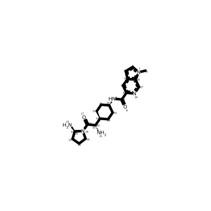 Cn1ccc2cc(C(=O)N[C@H]3CC[C@H]([C@H](N)C(=O)N4CCC[C@H]4N)CC3)ncc21